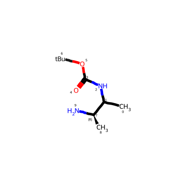 CC(NC(=O)OC(C)(C)C)[C@@H](C)N